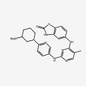 CNC1CCCN(c2ccc(Nc3ncc(C)c(Nc4ccc5oc(=O)[nH]c5c4)n3)cn2)C1